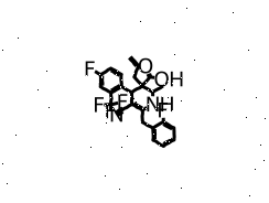 C=CCC1(C(=O)O)C(C)NC(Cc2ccccc2F)=C(C#N)C1c1ccc(F)cc1C(F)(F)F